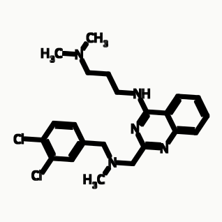 CN(C)CCCNc1nc(CN(C)Cc2ccc(Cl)c(Cl)c2)nc2ccccc12